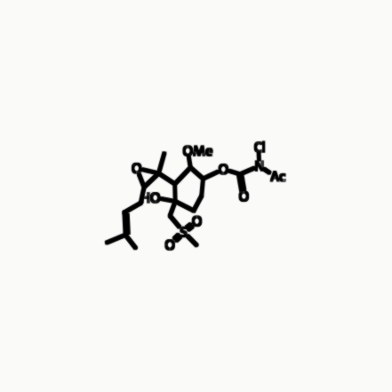 COC1C(OC(=O)N(Cl)C(C)=O)CCC(O)(CS(C)(=O)=O)C1C1(C)OC1CC=C(C)C